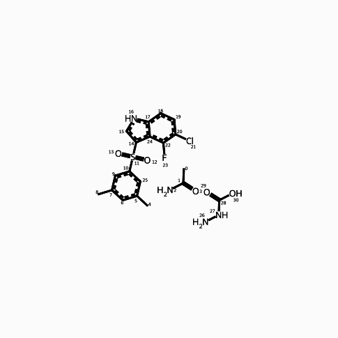 CC(N)=O.Cc1cc(C)cc(S(=O)(=O)c2c[nH]c3ccc(Cl)c(F)c23)c1.NNC(=O)O